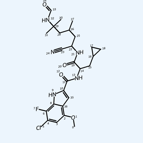 COc1cc(Cl)c(F)c2[nH]c(C(=O)NC(CC3CC3)C(=O)NC(C#N)CC(C)CC(C)(C)NC=O)cc12